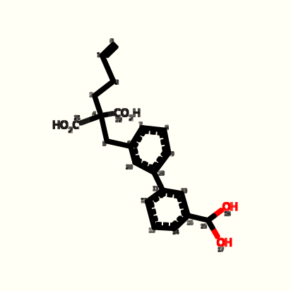 C=CCCC(Cc1cccc(-c2cccc(C(O)O)c2)c1)(C(=O)O)C(=O)O